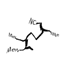 CNC(=CC#N)CCC(NC)=C(C)NC